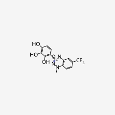 CN(/N=C/c1ccc(O)c(O)c1O)c1ccc(C(F)(F)F)cc1[N+](=O)[O-]